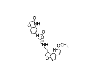 COc1ccc2ccc3c(c2n1)C(CCNC[C@@H]1CN(c2ccc4c(c2)NC(=O)CO4)C(=O)O1)CO3